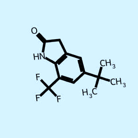 CC(C)(C)c1cc2c(c(C(F)(F)F)c1)NC(=O)C2